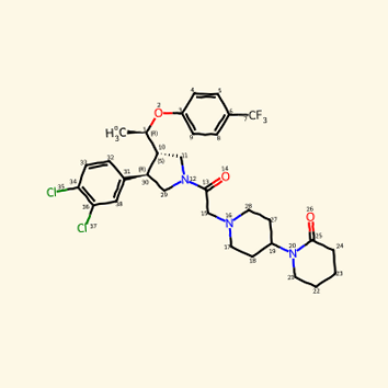 C[C@@H](Oc1ccc(C(F)(F)F)cc1)[C@@H]1CN(C(=O)CN2CCC(N3CCCCC3=O)CC2)C[C@H]1c1ccc(Cl)c(Cl)c1